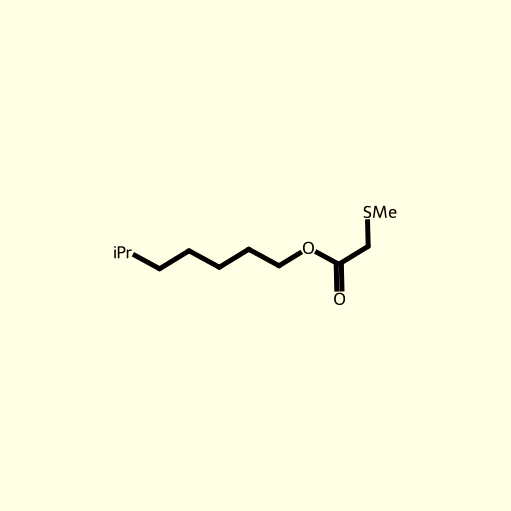 [CH2]SCC(=O)OCCCCCC(C)C